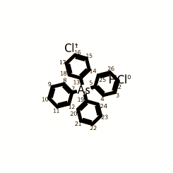 Cl.[Cl-].c1ccc([As+](c2ccccc2)(c2ccccc2)c2ccccc2)cc1